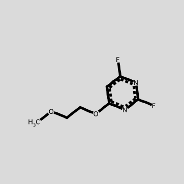 COCCOc1cc(F)nc(F)n1